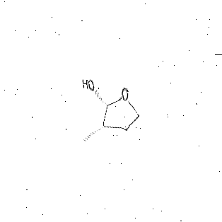 C[C@H]1CCO[C@H]1O